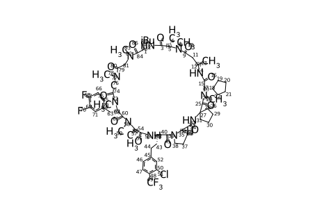 CC[C@H](C)[C@@H]1NC(=O)[C@H](C)N(C)C(=O)C[C@@H](C)NC(=O)[C@H](C2CCCC2)N(C)C(=O)C2(CCCC2)NC(=O)[C@@H]2CCCN2C(=O)[C@H](CCc2ccc(C(F)(F)F)c(Cl)c2)NC(=O)[C@@H](C)N(C)C(=O)[C@H](Cc2ccc(F)c(F)c2)N(C)C(=O)CN(C)C(=O)CN(C)C1=O